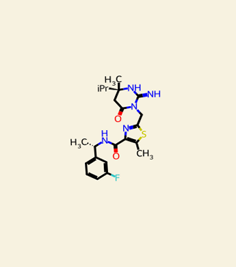 Cc1sc(CN2C(=N)N[C@](C)(C(C)C)CC2=O)nc1C(=O)N[C@@H](C)c1cccc(F)c1